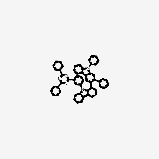 c1ccc(-c2nc(-c3ccccc3)nc(-c3cccc(-n4c5ccccc5c5cccc(-c6cc7c8ccccc8n(-c8ccccc8)c7cc6-c6ccccc6)c54)c3)n2)cc1